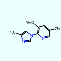 COc1cc(C#N)cnc1-n1cnc(C)c1